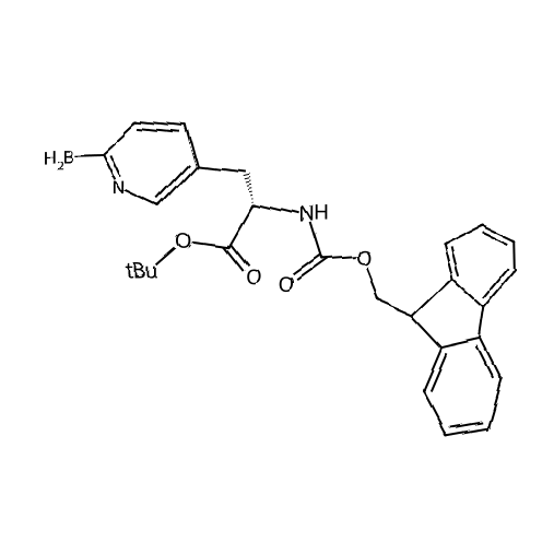 Bc1ccc(C[C@H](NC(=O)OCC2c3ccccc3-c3ccccc32)C(=O)OC(C)(C)C)cn1